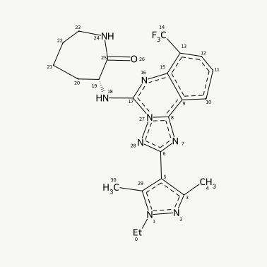 CCn1nc(C)c(-c2nc3c4cccc(C(F)(F)F)c4nc(N[C@@H]4CCCCNC4=O)n3n2)c1C